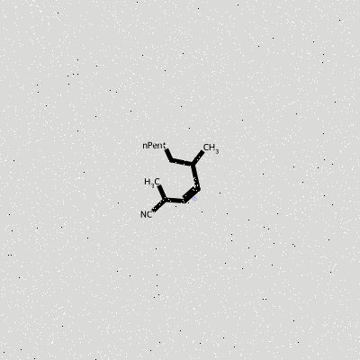 CCCCCCC(C)/C=C\C(C)C#N